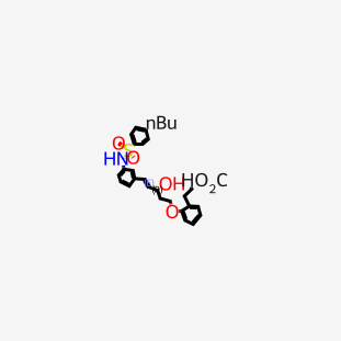 CCCCc1ccc(S(=O)(=O)Nc2cccc(/C=C/[C@H](O)CCOc3ccccc3CCC(=O)O)c2)cc1